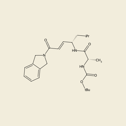 CC(C)C[C@@H](/C=C/C(=O)N1Cc2ccccc2C1)NC(=O)[C@H](C)NC(=O)OC(C)(C)C